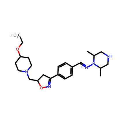 CC1CNCC(C)N1/N=C/c1ccc(C2=NOC(CN3CCC(OCC(=O)O)CC3)C2)cc1